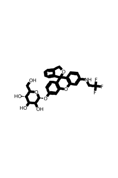 OCC1O[C@H](Oc2ccc3c(c2)Oc2cc(NCC(F)(F)F)ccc2C32OCc3ccccc32)C(O)C(O)[C@@H]1O